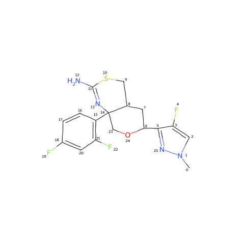 Cn1cc(F)c(C2CC3CSC(N)=NC3(c3ccc(F)cc3F)CO2)n1